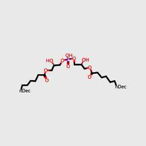 CCCCCCCCCCCCCCCC(=O)OC[C@@H](O)COP(=O)(O)OC[C@@H](O)COC(=O)CCCCCCCCCCCCCCC